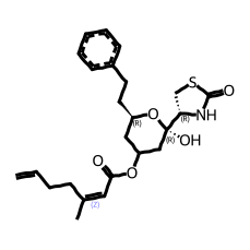 C=CCC/C(C)=C\C(=O)OC1C[C@@H](CCc2ccccc2)O[C@@](O)([C@@H]2CSC(=O)N2)C1